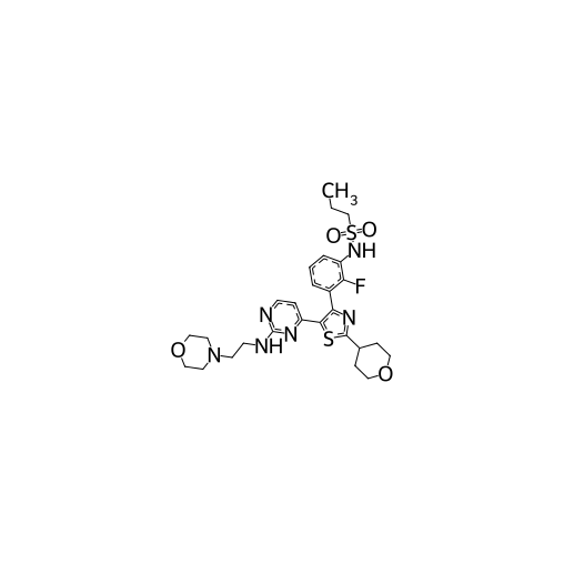 CCCS(=O)(=O)Nc1cccc(-c2nc(C3CCOCC3)sc2-c2ccnc(NCCN3CCOCC3)n2)c1F